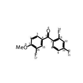 COc1ccc(C(=O)c2ccc(F)cc2F)cc1F